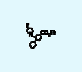 CCOC(=O)c1ccc(-c2ccccc2)c(CN2CCC(F)CC2)c1